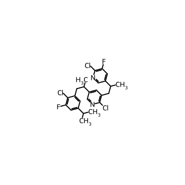 CC(C)c1cc(F)c(Cl)c(CC(C)c2cnc(Cl)c(CC(C)c3cnc(Cl)c(F)c3)c2)c1